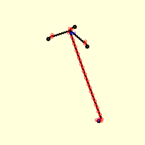 O=C(CCCCCCCCCCCCCCC(CCCCCCCCCCCCCCC(=O)OCc1ccccc1)(C(=O)NCCOCCOCCOCCOCCOCCOCCOCCOCCOCCOCCOCCOCCOCCOCCOCCOCCOCCOCCOCCOCCOCCOCCOCCOCCC(=O)ON1C(=O)CCC1=O)C(=O)OCc1ccccc1)OCc1ccccc1